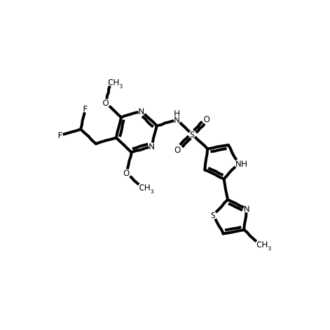 COc1nc(NS(=O)(=O)c2c[nH]c(-c3nc(C)cs3)c2)nc(OC)c1CC(F)F